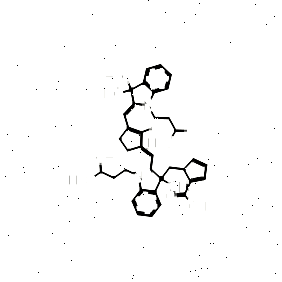 CC(=O)C1=CC=CC1CC1(C)C(/C=C2\CCC(/C=C3\N(CCC(C)C)c4ccccc4C3(C)C)=C2Cl)=[N+](CCC(C)C)c2ccccc21